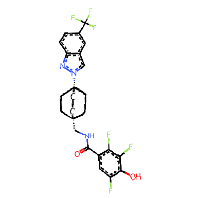 O=C(NC[C@]12CC[C@](n3cc4cc(C(F)(F)F)ccc4n3)(CC1)CC2)c1cc(F)c(O)c(F)c1F